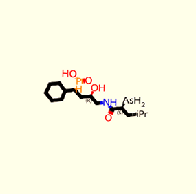 CC(C)C[C@H]([AsH2])C(=O)NC[C@H](O)CC(C1CCCCC1)[PH](=O)O